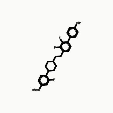 CCCCCc1ccc(C2CCC(CCc3ccc(-c4ccc(CCC)cc4)c(F)c3F)CC2)c(F)c1